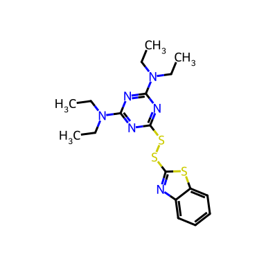 CCN(CC)c1nc(SSc2nc3ccccc3s2)nc(N(CC)CC)n1